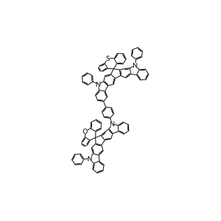 c1ccc(-n2c3ccccc3c3cc4c(cc32)C2(c3ccccc3Oc3ccccc32)c2cc3c(cc2-4)c2ccccc2n3-c2ccc(-c3ccc4c(c3)c3cc5c(cc3n4-c3ccccc3)C3(c4ccccc4Sc4ccccc43)c3cc4c(cc3-5)c3ccccc3n4-c3ccccc3)cc2)cc1